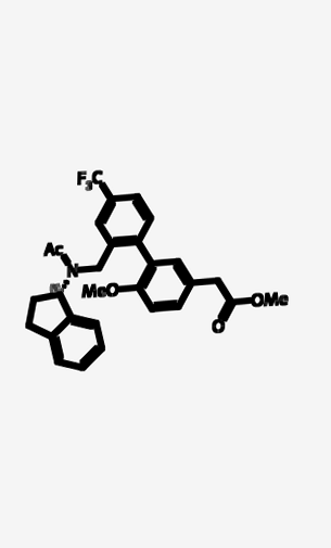 COC(=O)Cc1ccc(OC)c(-c2ccc(C(F)(F)F)cc2CN(C(C)=O)[C@H]2CCc3ccccc32)c1